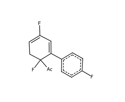 CC(=O)C1(F)CC=C(F)C=C1c1ccc(F)cc1